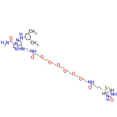 Cc1cc(C)cc(Nc2cc(NCCNC(=O)CCOCCOCCOCCOCCOCCOCCNC(=O)CCCC[C@@H]3SC[C@@H]4NC(=O)N[C@@H]43)c3ncc(C(N)=O)n3n2)c1